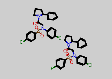 O=C(CN(c1ccc(Cl)cc1)S(=O)(=O)c1ccc(Cl)cc1)N1CCCC1c1ccccc1.O=C(CN(c1ccc(Cl)cc1)S(=O)(=O)c1ccc(F)cc1)N1CCCC1c1ccccc1